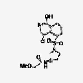 COCC(=O)N[C@@H]1CCN(S(=O)(=O)c2cccc3c(O)ncc(Cl)c23)C1